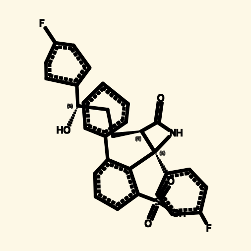 O=C1N[C@@](c2ccc(F)cc2)(c2c(-c3ccccc3)cccc2S(=O)(=O)O)[C@H]1CC[C@H](O)c1ccc(F)cc1